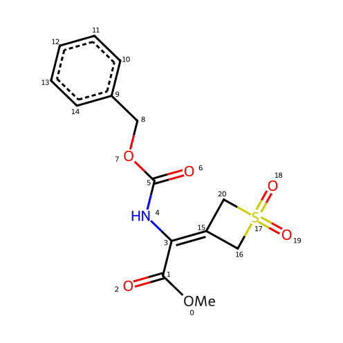 COC(=O)C(NC(=O)OCc1ccccc1)=C1CS(=O)(=O)C1